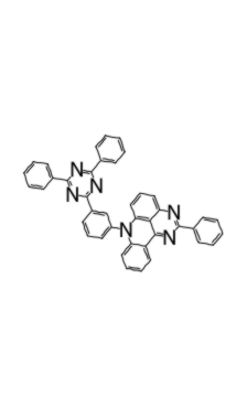 c1ccc(-c2nc(-c3ccccc3)nc(-c3cccc(N4c5ccccc5-c5nc(-c6ccccc6)nc6cccc4c56)c3)n2)cc1